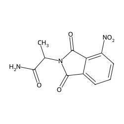 CC(C(N)=O)N1C(=O)c2cccc([N+](=O)[O-])c2C1=O